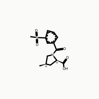 C[C@@H]1C[C@H](C(=O)O)N(C(=O)c2cccc(S(C)(=O)=O)c2)C1